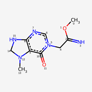 COC(=N)Cn1cnc2c(c1=O)N(C)CN2